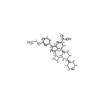 CCOc1nccc(-n2nc(C3CCC3)c3c(N4CCC(N5CCOCC5)CC4)cc(C(=O)O)nc32)n1